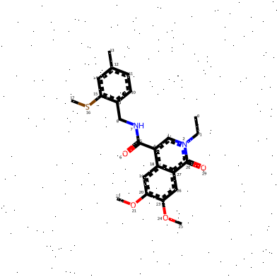 CCn1cc(C(=O)NCc2ccc(C)cc2SC)c2cc(OC)c(OC)cc2c1=O